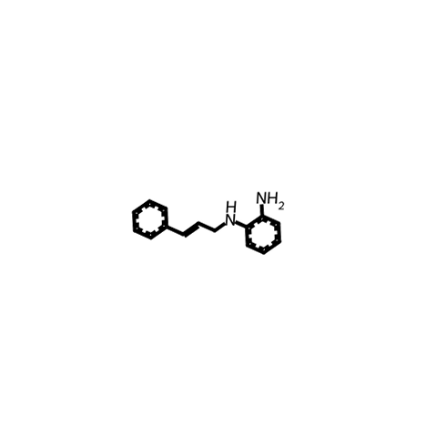 Nc1ccccc1NCC=Cc1ccccc1